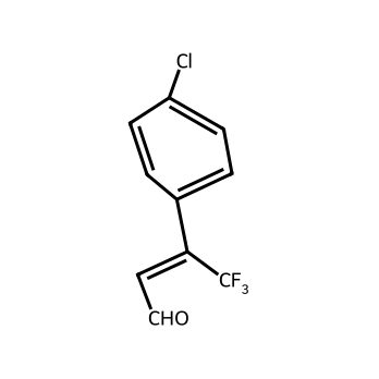 O=C/C=C(/c1ccc(Cl)cc1)C(F)(F)F